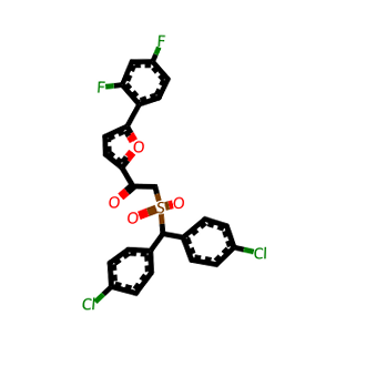 O=C(CS(=O)(=O)C(c1ccc(Cl)cc1)c1ccc(Cl)cc1)c1ccc(-c2ccc(F)cc2F)o1